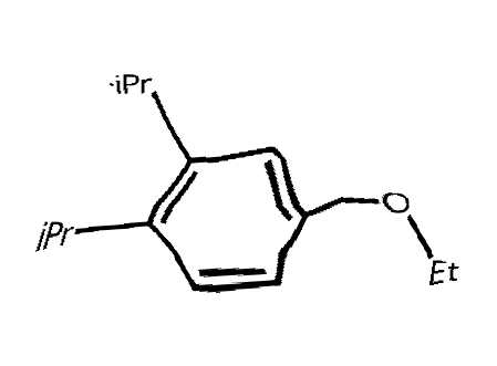 CCOc1ccc(C(C)C)c([C](C)C)c1